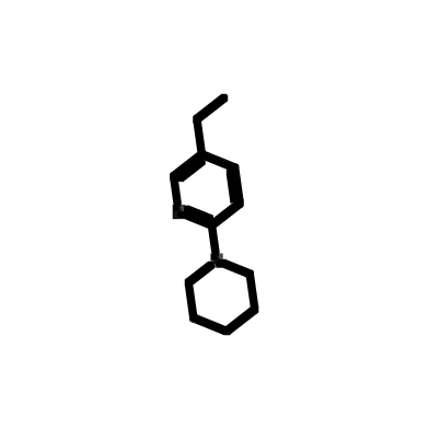 CCc1ccc(N2CCCCC2)nc1